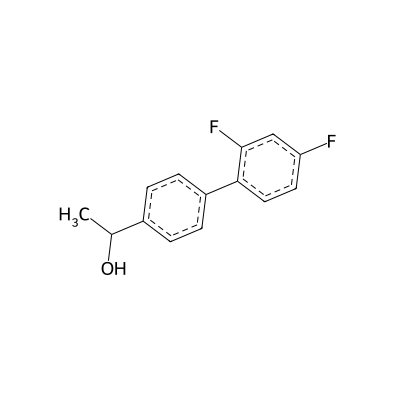 CC(O)c1ccc(-c2ccc(F)cc2F)cc1